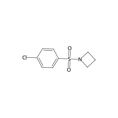 O=S(=O)(c1ccc(Cl)cc1)N1CCC1